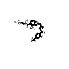 COCCNC(=O)c1ccc2nn(CC3CN(C(=O)c4ccc(C(F)(F)F)cc4F)C3)cc2c1C